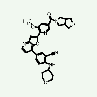 COc1cc(C(=O)N2CC3COCC3C2)cnc1-c1cc2nccc(-c3ccc(NC4CCOCC4)c(C#N)c3)c2o1